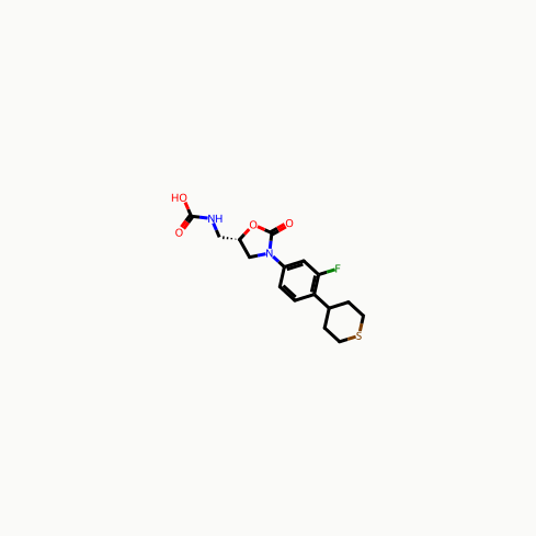 O=C(O)NC[C@H]1CN(c2ccc(C3CCSCC3)c(F)c2)C(=O)O1